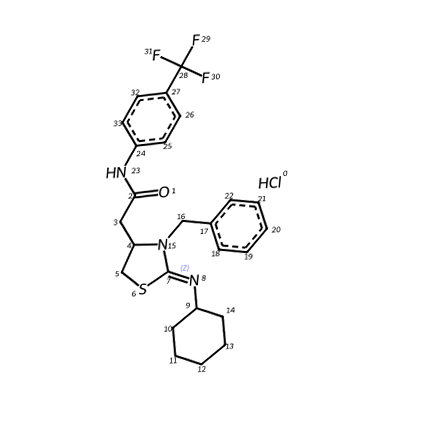 Cl.O=C(CC1CS/C(=N\C2CCCCC2)N1Cc1ccccc1)Nc1ccc(C(F)(F)F)cc1